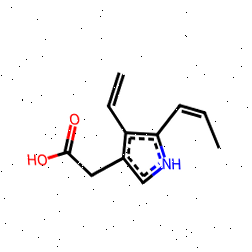 C=Cc1c(CC(=O)O)c[nH]c1/C=C\C